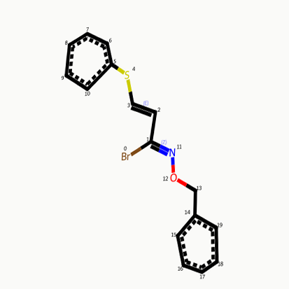 BrC(/C=C/Sc1ccccc1)=N\OCc1ccccc1